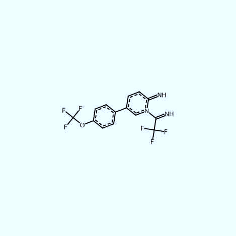 N=C(n1cc(-c2ccc(OC(F)(F)F)cc2)ccc1=N)C(F)(F)F